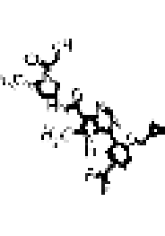 Cc1[nH]c2c(-c3cc(C(F)F)ccc3OCC3CC3)ncnc2c1C(=O)N[C@H]1C[C@H](C)N(C(=O)CO)C1